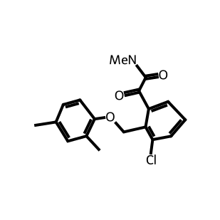 CNC(=O)C(=O)c1cccc(Cl)c1COc1ccc(C)cc1C